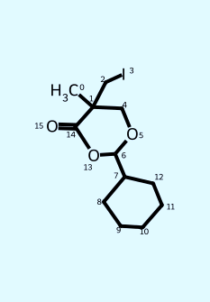 CC1(CI)COC(C2CCCCC2)OC1=O